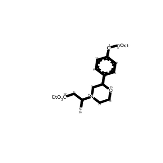 CCCCCCCCOc1ccc(C2CN(C(F)CC(=O)OCC)CCO2)cc1